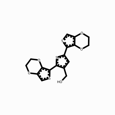 OCc1cc(-c2scc3c2OCCO3)sc1-c1scc2c1OCCO2